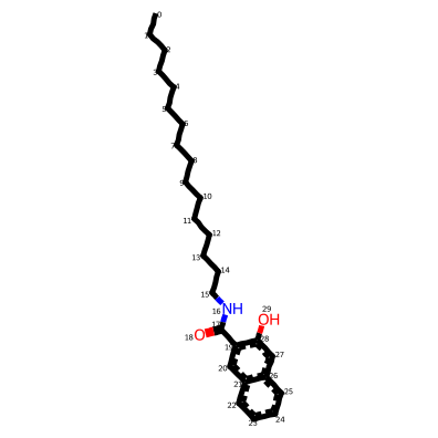 CCCCCCCCCCCCCCCCNC(=O)c1cc2ccccc2cc1O